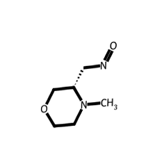 CN1CCOC[C@@H]1CN=O